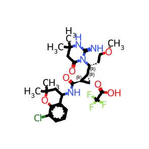 COCC[C@H]([C@@H]1C[C@H]1C(=O)NC1CC(C)(C)Oc2c(Cl)cccc21)N1C(=N)NC(C)(C)CC1=O.O=C(O)C(F)(F)F